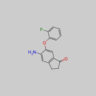 Nc1cc2c(cc1Oc1ccccc1F)C(=O)CC2